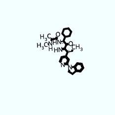 CC[C@H](C(=N)C(=O)[C@@H](NC(=O)[C@H](C)NC)C1CCCCC1)c1ccnc(N2CCc3ccccc32)c1